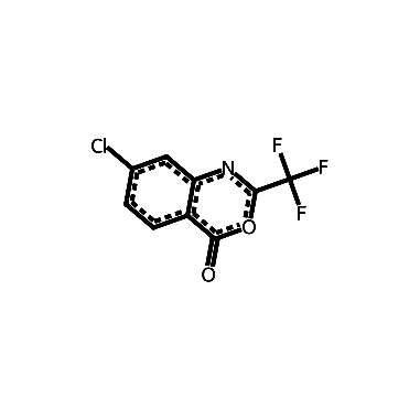 O=c1oc(C(F)(F)F)nc2cc(Cl)ccc12